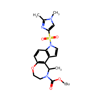 Cc1nc(S(=O)(=O)n2ccc3c4c(ccc32)OCCN(C(=O)OC(C)(C)C)C4C)cn1C